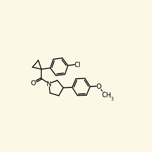 COc1ccc(C2CCN(C(=O)C3(c4ccc(Cl)cc4)CC3)C2)cc1